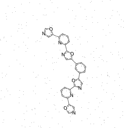 c1cc(-c2cnc(-c3cccc(-c4cnco4)n3)o2)cc(-c2cnc(-c3cccc(-c4cnco4)n3)o2)c1